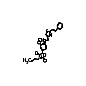 CCCCN1C(=O)OC(c2ccc(OCc3csc(C=Cc4ccccc4)n3)c(OC)c2)C1=O